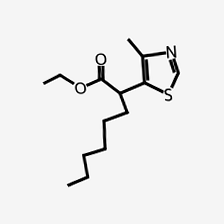 CCCCCCC(C(=O)OCC)c1scnc1C